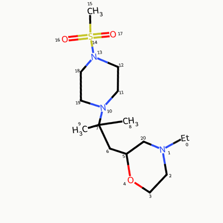 CCN1CCOC(CC(C)(C)N2CCN(S(C)(=O)=O)CC2)C1